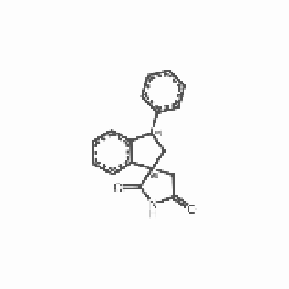 O=C1C[C@@]2(C[C@H](c3ccccc3)c3ccccc32)C(=O)N1